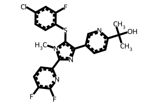 Cn1c(-c2ccc(F)c(F)n2)nc(-c2ccc(C(C)(C)O)nc2)c1Sc1ccc(Cl)cc1F